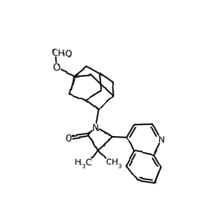 CC1(C)C(=O)N(C2C3CC4CC2CC(OC=O)(C4)C3)C1c1ccnc2ccccc12